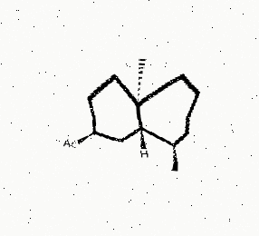 CC(=O)[C@H]1CC[C@@]2(C)CCC[C@@H](C)[C@@H]2C1